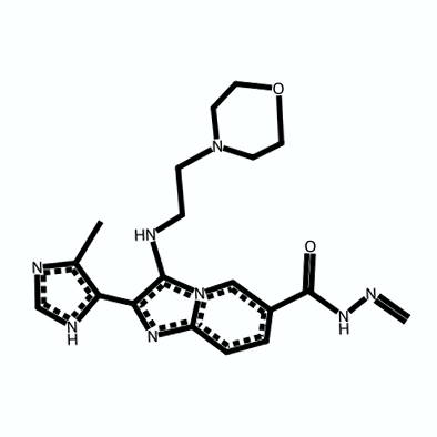 C=NNC(=O)c1ccc2nc(-c3[nH]cnc3C)c(NCCN3CCOCC3)n2c1